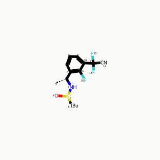 C[C@@H](N[S+]([O-])C(C)(C)C)c1cccc(C(F)(F)C#N)c1F